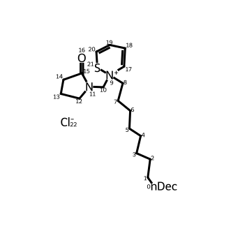 CCCCCCCCCCCCCCCCCC[N+]1(CN2CCCC2=O)C=CC=CS1.[Cl-]